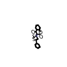 O=C1Oc2ccccc2C(=O)/C1=C1/C=C(c2ccccc2)SS1